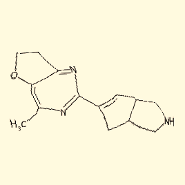 Cc1nc(C2=CC3CNCC3C2)nc2c1OCC2